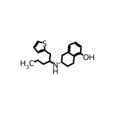 CCCC(Cc1cccs1)N[C@H]1CCc2c(O)cccc2C1